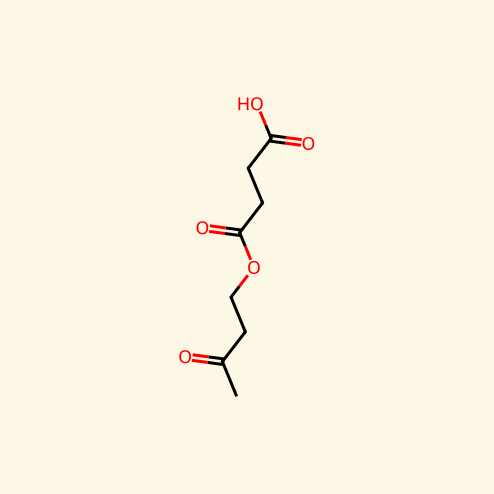 CC(=O)CCOC(=O)CCC(=O)O